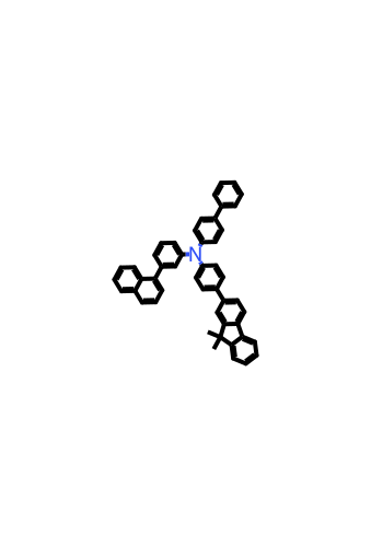 CC1(C)c2ccccc2-c2ccc(-c3ccc(N(c4ccc(-c5ccccc5)cc4)c4cccc(-c5cccc6ccccc56)c4)cc3)cc21